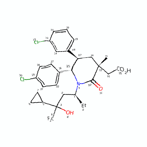 CC[C@@H](CC(O)(C1CC1)C(F)(F)F)N1C(=O)[C@@](C)(CC(=O)O)C[C@H](c2cccc(Cl)c2)[C@H]1c1ccc(Cl)cc1